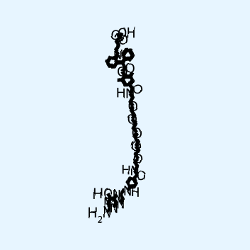 Cc1cc(C(=O)NCCOCCOCCOCCOCCOCCNC(=O)c2ccc(NCc3cnc4nc(N)nc(O)c4n3)cc2)cc(C)c1OC(=O)c1c2ccccc2[n+](CCCS(=O)(=O)O)c2ccccc12